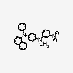 CN(C1=CC([N+](=O)[O-])CC=C1)c1ccc(N(c2ccccc2)c2cccc3ccccc23)cc1